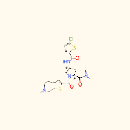 CN1CCc2cc(C(=O)N3C[C@H](NC(=O)c4ccc(Cl)s4)C[C@H]3C(=O)N(C)C)sc2C1